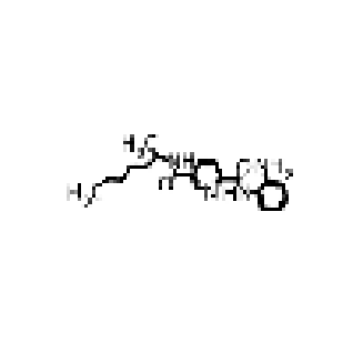 CCCCCC(C)NC(=O)c1ccc(C(=O)Nc2ccccc2N)nc1